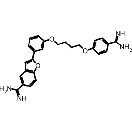 N=C(N)c1ccc(OCCCCOc2cccc(-c3cc4cc(C(=N)N)ccc4o3)c2)cc1